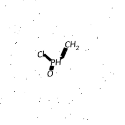 C=C[PH](=O)Cl